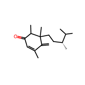 C=C1C(C)=CC(=O)C(C)C1(C)CC[C@@H](C)C(C)C